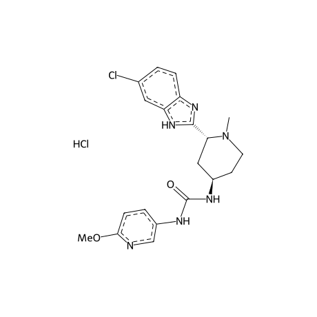 COc1ccc(NC(=O)N[C@@H]2CCN(C)[C@@H](c3nc4ccc(Cl)cc4[nH]3)C2)cn1.Cl